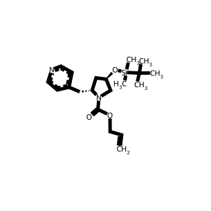 C=CCOC(=O)N1C[C@H](O[Si](C)(C)C(C)(C)C)C[C@H]1Cc1ccncc1